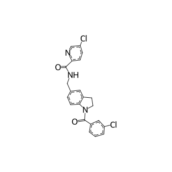 O=C(NCc1ccc2c(c1)CCN2C(=O)c1cccc(Cl)c1)c1ccc(Cl)cn1